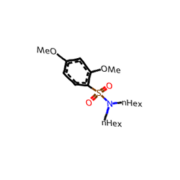 CCCCCCN(CCCCCC)S(=O)(=O)c1ccc(OC)cc1OC